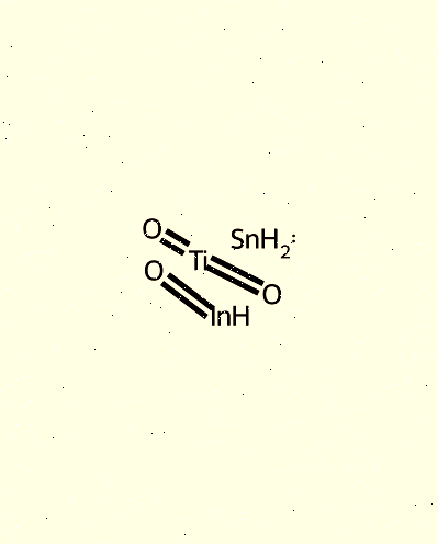 [O]=[InH].[O]=[Ti]=[O].[SnH2]